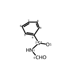 O=CN[S+]([O-])c1ccccc1